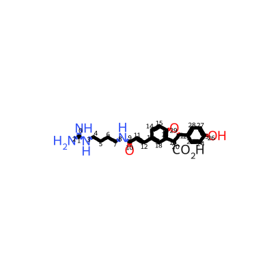 N=C(N)NCCCCNC(=O)/C=C/c1ccc2c(c1)C(C(=O)O)C(c1ccc(O)cc1)O2